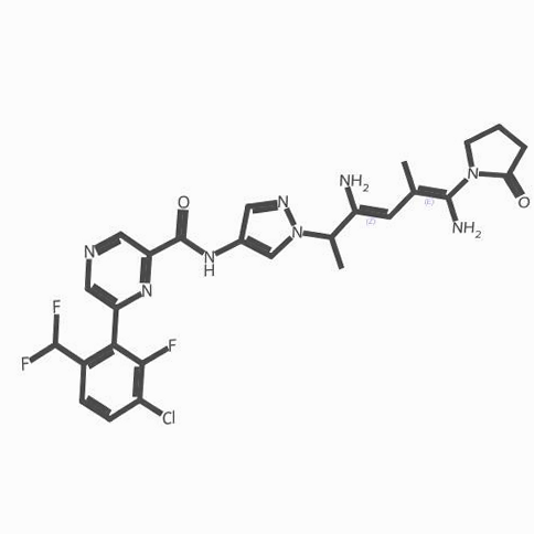 CC(/C=C(\N)C(C)n1cc(NC(=O)c2cncc(-c3c(C(F)F)ccc(Cl)c3F)n2)cn1)=C(/N)N1CCCC1=O